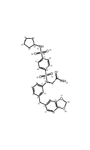 NC(=O)CN(c1cccc(Cc2ccc3c(c2)OCO3)c1)S(=O)(=O)c1ccc(S(=O)(=O)NC2CCCC2)cc1